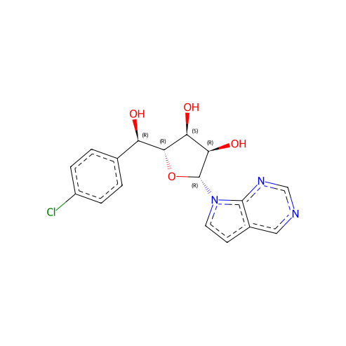 O[C@@H]1[C@H](O)[C@@H]([C@H](O)c2ccc(Cl)cc2)O[C@H]1n1ccc2cncnc21